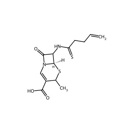 C=CCCC(=S)NC1C(=O)N2C=C(C(=O)O)C(C)S[C@H]12